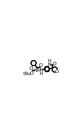 CC(C)(C)OC(=O)N[C@H](C(=O)Nc1ccc2c(c1)NC(=O)C21CCOCC1)C1CCCCC1